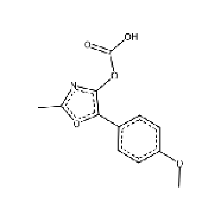 COc1ccc(-c2oc(C)nc2OC(=O)O)cc1